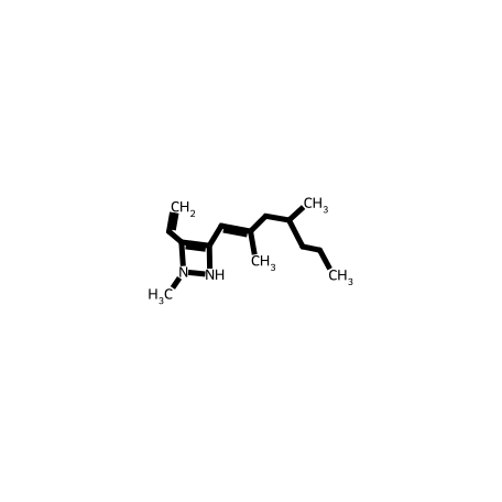 C=Cc1c(/C=C(\C)CC(C)CCC)[nH]n1C